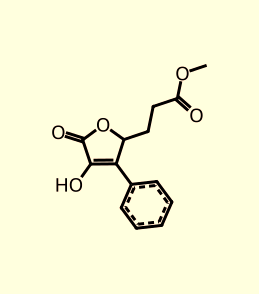 COC(=O)CCC1OC(=O)C(O)=C1c1ccccc1